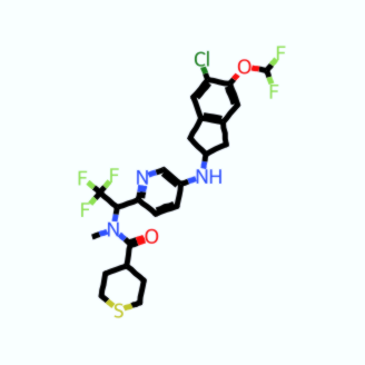 CN(C(=O)C1CCSCC1)C(c1ccc(NC2Cc3cc(Cl)c(OC(F)F)cc3C2)cn1)C(F)(F)F